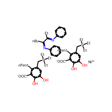 CCCCC(=Nc1ccccc1)C(CC)=Nc1ccccc1.CCCCCc1c(C[Si](CC)(CC)CC)cc(O)c(O)c1C(=O)[O-].CCCCCc1c(C[Si](CC)(CC)CC)cc(O)c(O)c1C(=O)[O-].[Ni+2]